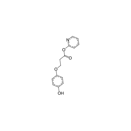 O=C(CCOc1ccc(O)cc1)Oc1ccccn1